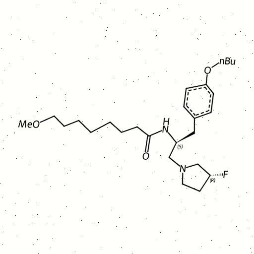 CCCCOc1ccc(C[C@@H](CN2CC[C@@H](F)C2)NC(=O)CCCCCCCOC)cc1